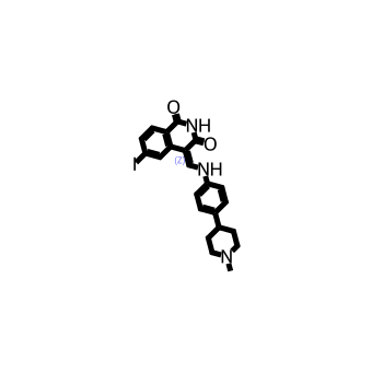 CN1CCC(c2ccc(N/C=C3\C(=O)NC(=O)c4ccc(I)cc43)cc2)CC1